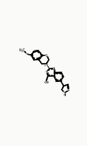 COc1ccc2c(c1)C[C@H](c1nc(O)c3cc(C4C=NNC4)ccc3n1)CO2